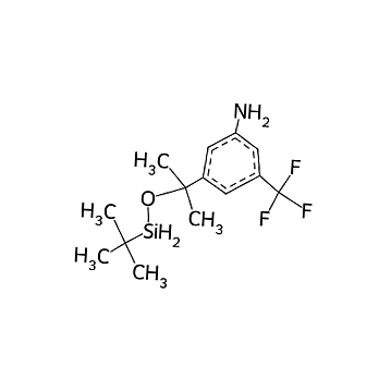 CC(C)(C)[SiH2]OC(C)(C)c1cc(N)cc(C(F)(F)F)c1